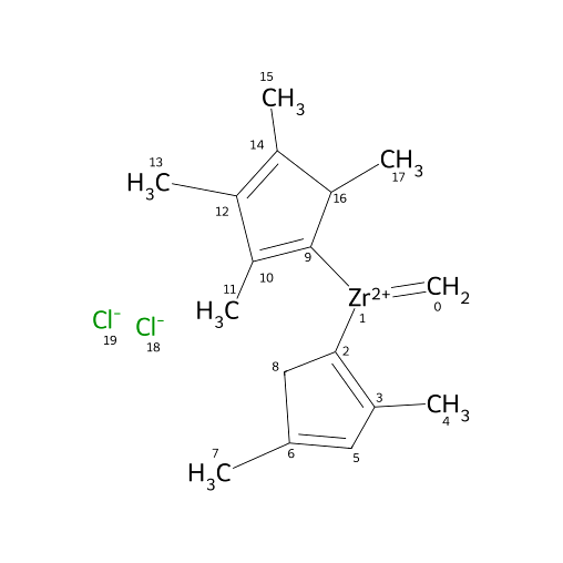 [CH2]=[Zr+2]([C]1=C(C)C=C(C)C1)[C]1=C(C)C(C)=C(C)C1C.[Cl-].[Cl-]